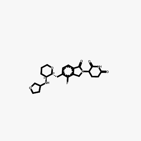 O=C1CCC(N2Cc3c(ccc(C[C@H]4OCCC[C@@H]4NC4CCOC4)c3F)C2=O)C(=O)N1